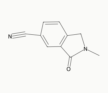 CN1Cc2ccc(C#N)cc2C1=O